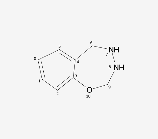 c1ccc2c(c1)CNNCO2